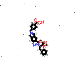 O=C(O)c1ccc(CN2Cc3ccc(C(=O)NC(Cc4ccccc4)C4=COCO4)cc3C2)cc1